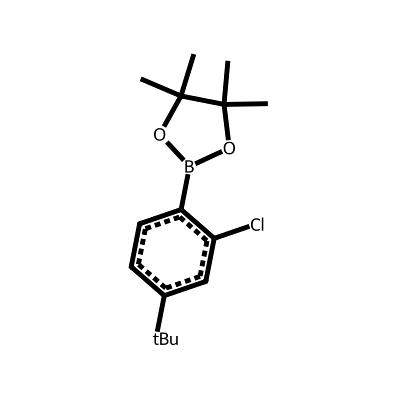 CC(C)(C)c1ccc(B2OC(C)(C)C(C)(C)O2)c(Cl)c1